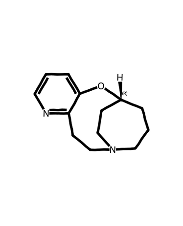 c1cnc2c(c1)O[C@@H]1CCCN(CC2)CC1